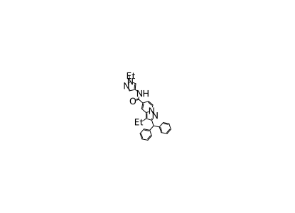 CCc1c(C(c2ccccc2)c2ccccc2)nn2ccc(C(=O)Nc3cnn(CC)c3)cc12